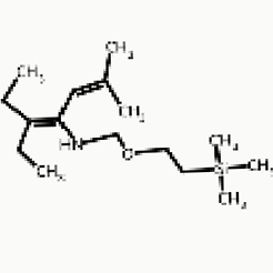 CCC(CC)=C(C=C(C)C)NCOCC[Si](C)(C)C